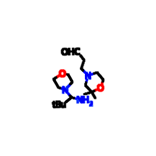 CC(C)(C)C(N)N1CCOCC1.CC1(C)CN(CCC=O)CCO1